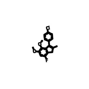 COc1cc(F)c2c(c1OC)C(c1ccc(Cl)cc1)=C(C)C2